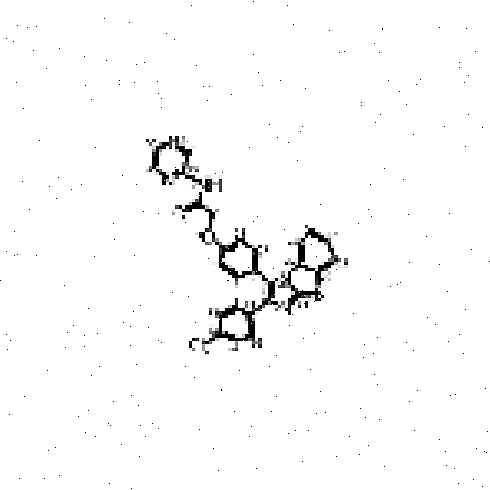 O=C(COc1ccc(-c2c(-c3ccc(Cl)cc3)nc3sc4ccccc4n23)cc1)Nc1cnccn1